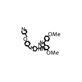 COc1ccc(-c2nnc(NC3CCN(Cc4ccc(OCc5ccncc5)cc4)CC3)c3cc(OC)ccc23)cc1